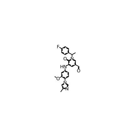 COc1cc(Nc2cc(C=O)cn(C(C)c3ccc(F)cc3)c2=O)ccc1-n1cnc(C)c1